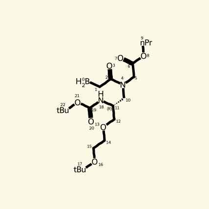 BCC(=O)N(CC(=O)OCCC)C[C@H](COCCOC(C)(C)C)NC(=O)OC(C)(C)C